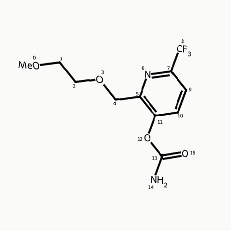 COCCOCc1nc(C(F)(F)F)ccc1OC(N)=O